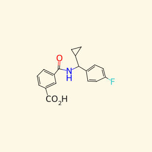 O=C(O)c1cccc(C(=O)NC(c2ccc(F)cc2)C2CC2)c1